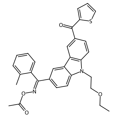 CCOCCn1c2ccc(C(=O)c3cccs3)cc2c2cc(/C(=N/OC(C)=O)c3ccccc3C)ccc21